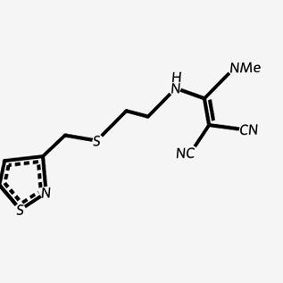 CNC(NCCSCc1ccsn1)=C(C#N)C#N